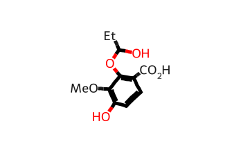 CCC(O)Oc1c(C(=O)O)ccc(O)c1OC